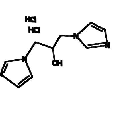 Cl.Cl.OC(Cn1ccnc1)Cn1ccnc1